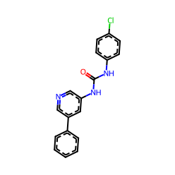 O=C(Nc1ccc(Cl)cc1)Nc1cncc(-c2ccccc2)c1